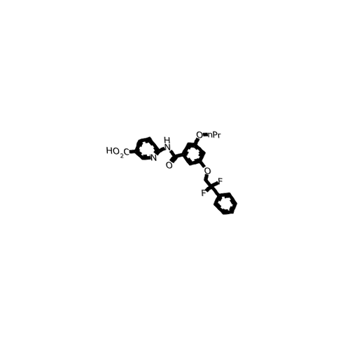 CCCOc1cc(OCC(F)(F)c2ccccc2)cc(C(=O)Nc2ccc(C(=O)O)cn2)c1